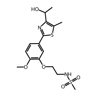 COc1ccc(-c2nc(C(C)O)c(C)s2)cc1OCCNS(C)(=O)=O